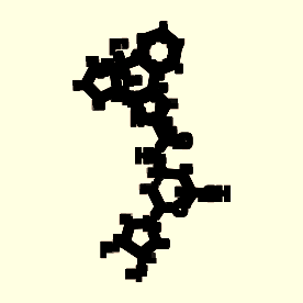 CC(F)(F)c1ccccc1-c1cc(C(=O)N[C@@H](CCN2C[C@@H](F)[C@H](F)C2)CC(=O)O)nn1C1CCCC1